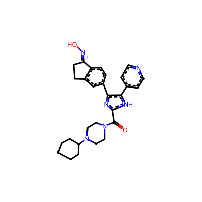 O=C(c1nc(-c2ccc3c(c2)CC/C3=N\O)c(-c2ccncc2)[nH]1)N1CCN(C2CCCCC2)CC1